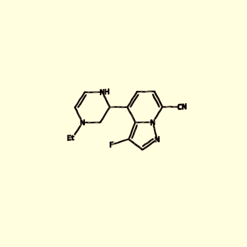 CCN1C=CNC(c2ccc(C#N)n3ncc(F)c23)C1